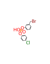 O=P(O)(Oc1ccc(Cl)cc1)Oc1cccc(CBr)c1